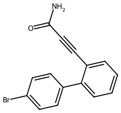 NC(=O)C#Cc1ccccc1-c1ccc(Br)cc1